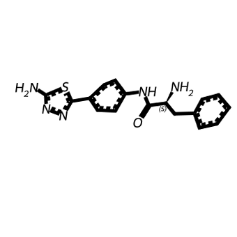 Nc1nnc(-c2ccc(NC(=O)[C@@H](N)Cc3ccccc3)cc2)s1